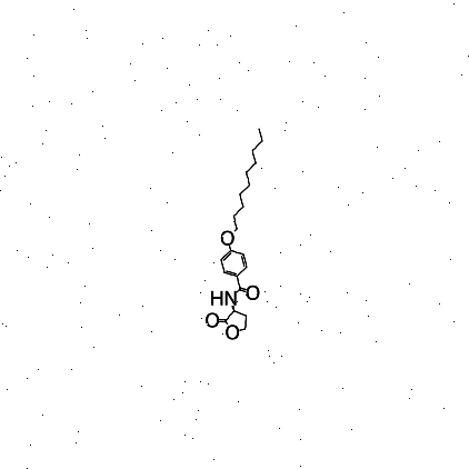 CCCCCCCCCCOc1ccc(C(=O)N[C@H]2CCOC2=O)cc1